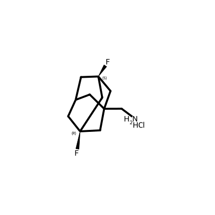 Cl.NCC12CC3C[C@@](F)(C1)C[C@](F)(C3)C2